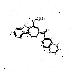 CCOC(=O)OC1=CN(C(=O)c2ccc3c(c2)OCCO3)CCc2c1[nH]c1ccccc21